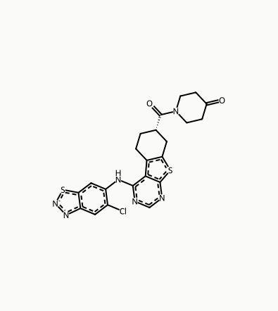 O=C1CCN(C(=O)[C@H]2CCc3c(sc4ncnc(Nc5cc6snnc6cc5Cl)c34)C2)CC1